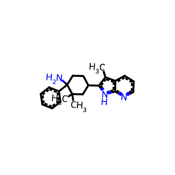 Cc1c(C2CCC(N)(c3ccccc3)C(C)(C)C2)[nH]c2ncccc12